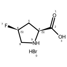 Br.O=C(O)[C@@H]1C[C@H](F)CN1